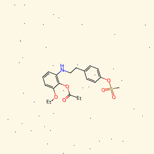 CCOc1cccc(NCCc2ccc(OS(C)(=O)=O)cc2)c1OC(=O)CC